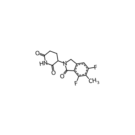 Cc1c(F)cc2c(c1F)C(=O)N(C1CCC(=O)NC1=O)C2